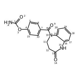 NC(=O)Oc1ccc(C(=O)N2CCC(=O)Nc3ccccc32)cc1